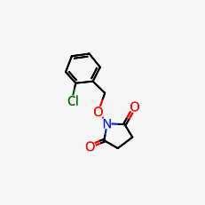 O=C1CCC(=O)N1OCc1ccccc1Cl